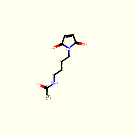 O=C1C=CC(=O)N1CCCCNC(=O)C(F)(F)F